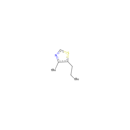 CC(C)(C)CCc1scnc1C(C)(C)C